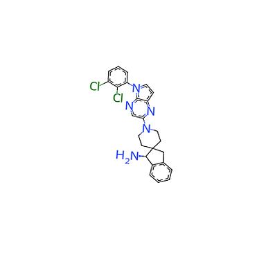 N[C@@H]1c2ccccc2CC12CCN(c1cnc3c(ccn3-c3cccc(Cl)c3Cl)n1)CC2